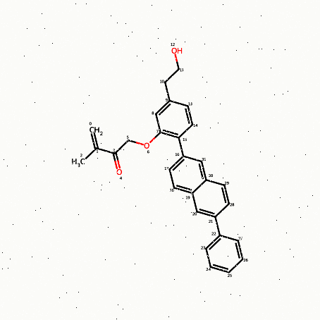 C=C(C)C(=O)COc1cc(CCO)ccc1-c1ccc2cc(-c3ccccc3)ccc2c1